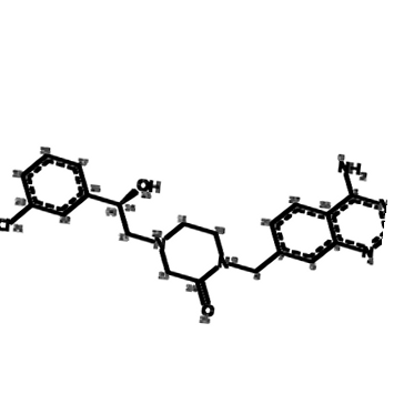 Nc1ncnc2cc(CN3CCN(C[C@H](O)c4cccc(Cl)c4)CC3=O)ccc12